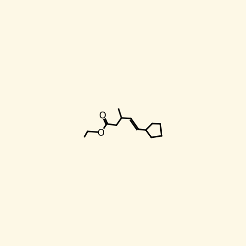 CCOC(=O)CC(C)/C=C/C1CCCC1